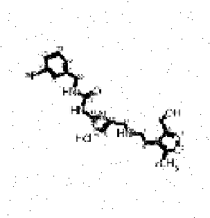 Cc1onc(CO)c1CCNCc1csc(NC(=O)NCc2cccc(F)c2)n1.Cl